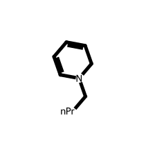 CCCCN1C=CC=CC1